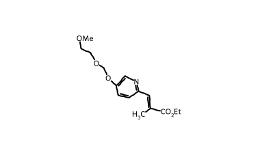 CCOC(=O)C(C)=Cc1ccc(OCOCCOC)cn1